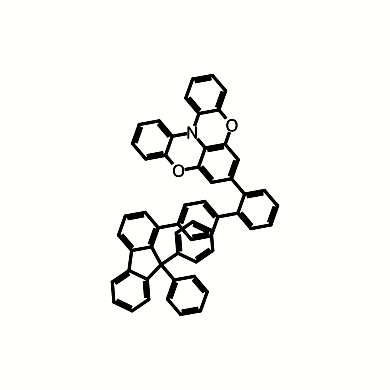 c1ccc(C2(c3ccccc3)c3ccccc3-c3cccc(-c4ccc(-c5ccccc5-c5cc6c7c(c5)Oc5ccccc5N7c5ccccc5O6)cc4)c32)cc1